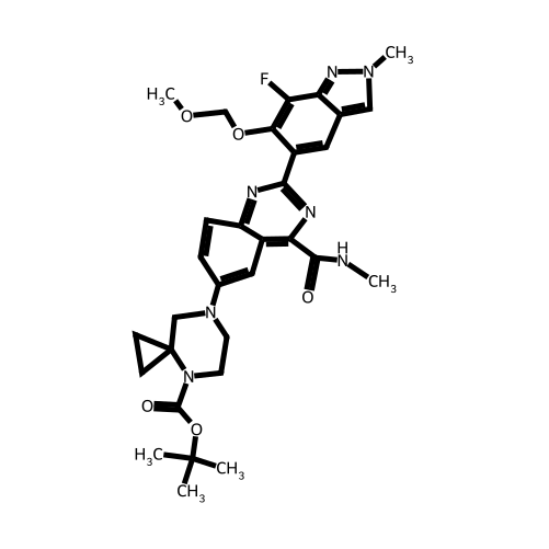 CNC(=O)c1nc(-c2cc3cn(C)nc3c(F)c2OCOC)nc2ccc(N3CCN(C(=O)OC(C)(C)C)C4(CC4)C3)cc12